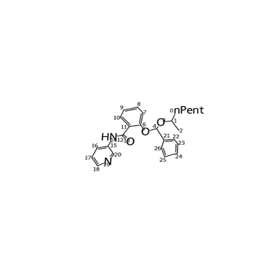 CCCCCC(C)OC(Oc1ccccc1C(=O)Nc1cccnc1)c1ccccc1